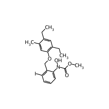 CCc1cc(CC)c(OCc2c(I)cccc2N(O)C(=O)OC)cc1C